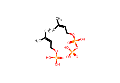 CC(C)=CCOP(=O)(O)O.CC(C)=CCOP(=O)(O)OP(=O)(O)O